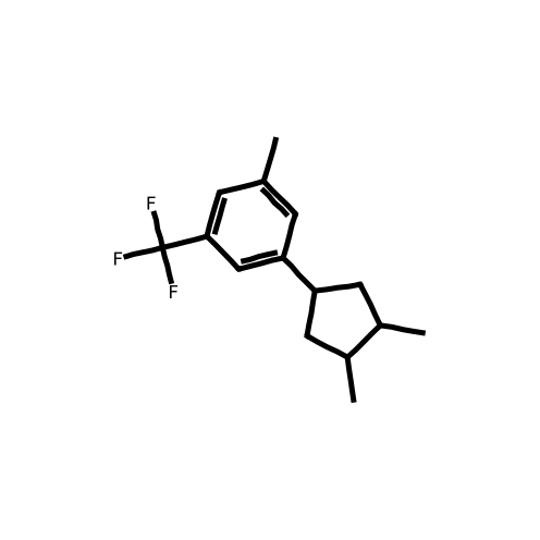 Cc1cc(C2CC(C)C(C)C2)cc(C(F)(F)F)c1